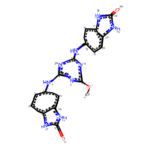 CCOc1nc(Nc2ccc3[nH]c(=O)[nH]c3c2)nc(Nc2ccc3[nH]c(=O)[nH]c3c2)n1